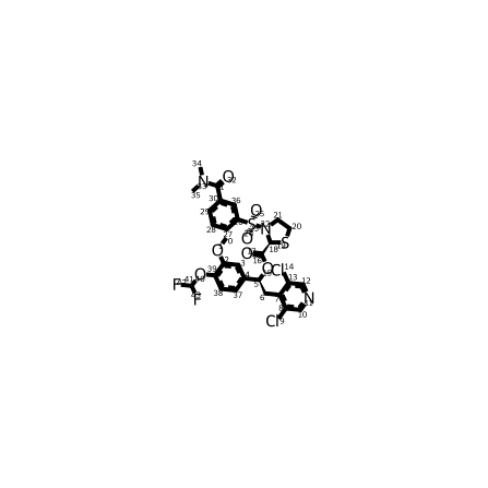 COc1cc([C@H](Cc2c(Cl)cncc2Cl)OC(=O)[C@@H]2SCCN2S(=O)(=O)c2cccc(C(=O)N(C)C)c2)ccc1OC(F)F